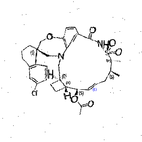 CC(=O)O[C@@H]1/C=C/C[C@H](C)[C@@H](C)S(=O)(=O)NC(=O)c2ccc3c(c2)N(C[C@@H]2CC[C@H]21)C[C@@]1(CCCc2cc(Cl)ccc21)CO3